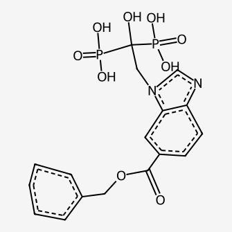 O=C(OCc1ccccc1)c1ccc2ncn(CC(O)(P(=O)(O)O)P(=O)(O)O)c2c1